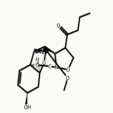 CCCC(=O)C1CON2CC[C@@]34C=C[C@H](O)C[C@@H]3Oc3c(OC)ccc(c34)C12